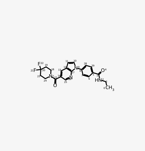 CCNC(=O)c1ccc(-n2ccc3cc(C(=O)N4CCC(F)(F)CC4)cnc32)cc1